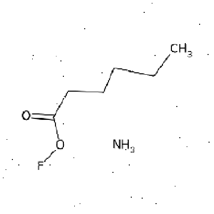 CCCCCC(=O)OF.N